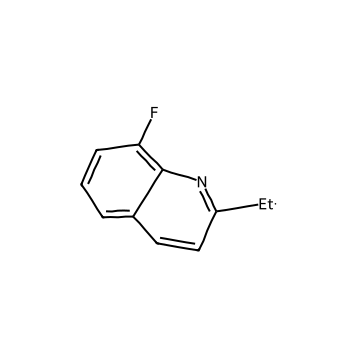 [CH2][CH]c1ccc2cccc(F)c2n1